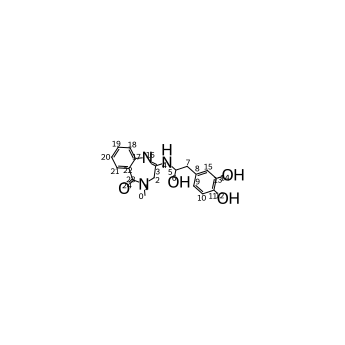 CN1CC(NC(O)Cc2ccc(O)c(O)c2)=Nc2ccccc2C1=O